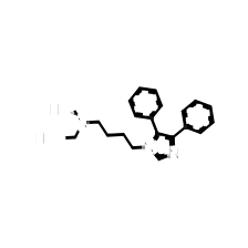 CCN(C)CCCCn1cnc(-c2ccccc2)c1-c1ccccc1